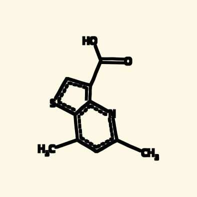 Cc1cc(C)c2scc(C(=O)O)c2n1